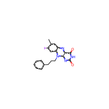 Cc1cc2nc3c(=O)[nH]c(=O)nc-3n(CCCc3ccccc3)c2cc1I